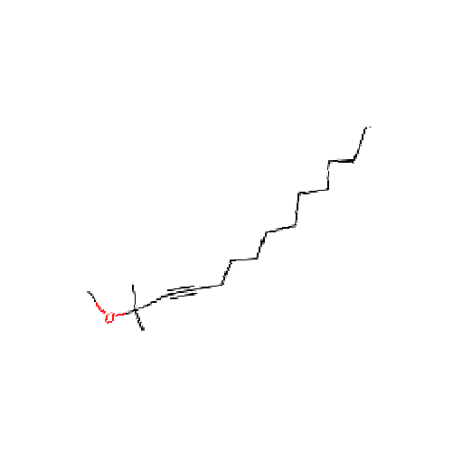 [CH2]CCCCCCCCCC#CC(C)(C)OC